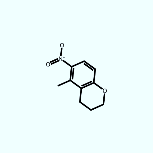 Cc1c([N+](=O)[O-])ccc2c1CCCO2